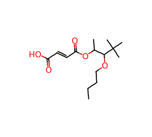 CCCCOC(C(C)OC(=O)C=CC(=O)O)C(C)(C)C